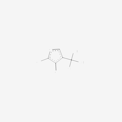 CC(C)(C)c1coc(F)c1Cl